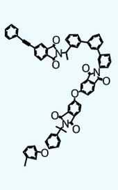 Cc1cccc(Oc2ccc(C(C)(C)N3C(=O)c4ccc(Oc5ccc6c(c5)C(=O)N(c5cccc(-c7cccc(-c8cccc(C(C)N9C(=O)c%10ccc(C#Cc%11ccccc%11)cc%10C9=O)c8)c7)c5)C6=O)cc4C3=O)cc2)c1